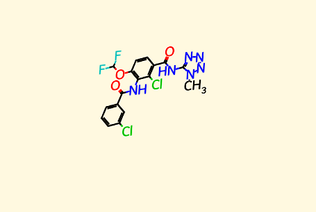 Cn1nnnc1NC(=O)c1ccc(OC(F)F)c(NC(=O)c2cccc(Cl)c2)c1Cl